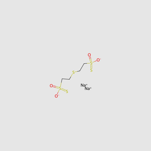 O=S([O-])(=S)CCSCCS(=O)([O-])=S.[Na+].[Na+]